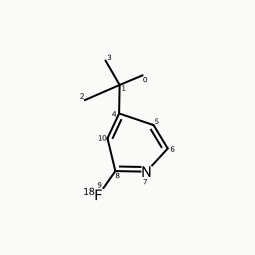 CC(C)(C)c1ccnc([18F])c1